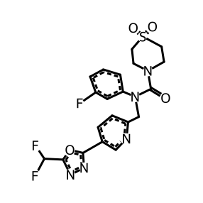 O=C(N1CCS(=O)(=O)CC1)N(Cc1ccc(-c2nnc(C(F)F)o2)cn1)c1cccc(F)c1